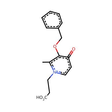 Cc1c(OCc2ccccc2)c(=O)ccn1CCC(=O)O